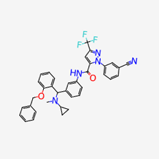 CN(C1CC1)C(c1cccc(NC(=O)c2cc(C(F)(F)F)nn2-c2cccc(C#N)c2)c1)c1ccccc1OCc1ccccc1